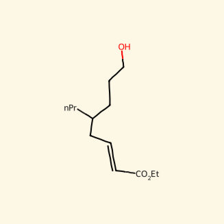 CCCC(C/C=C/C(=O)OCC)CCCO